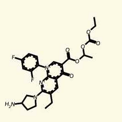 CCOC(=O)OC(C)OC(=O)c1cn(-c2ccc(F)cc2F)c2nc(N3CCC(N)C3)c(CC)cc2c1=O